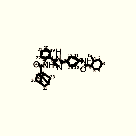 CC1CCCCC1C(=O)Nc1ccc(-c2ncc(-c3ccccc3NC(=O)C3C4CC5CC(C4)CC3C5)[nH]2)cc1